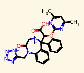 Cc1cc(C)nc(OC(C(=O)O)C2(c3ccccc3)NCC(=O)N(Cc3nnn[nH]3)c3ccccc32)n1